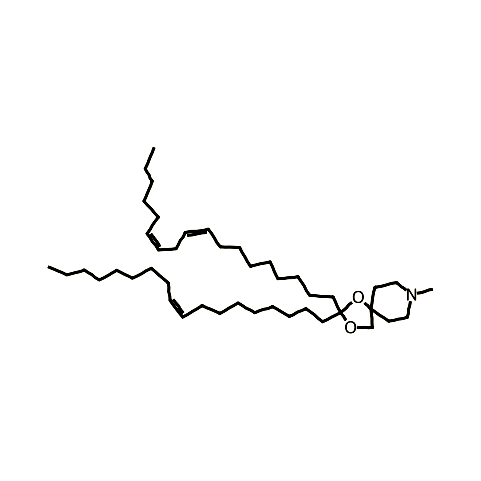 CCCCC/C=C\C/C=C\CCCCCCCCC1(CCCCCCCC/C=C\CCCCCCCC)OCC2(CCN(C)CC2)O1